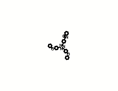 c1ccc(Oc2ccc(-c3nc(-c4ccc(Oc5ccccc5)cc4)nc(-c4ccc(-c5nc6ccccc6o5)cc4)n3)cc2)cc1